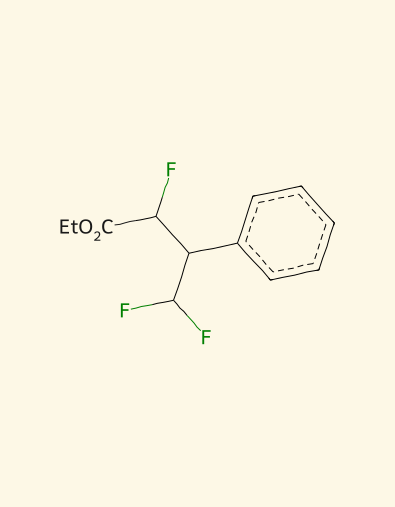 CCOC(=O)C(F)C(c1ccccc1)C(F)F